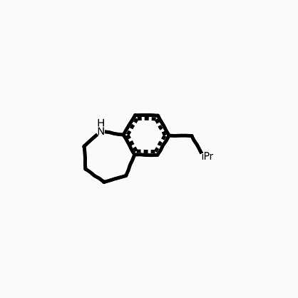 CC(C)Cc1ccc2c(c1)CCCCN2